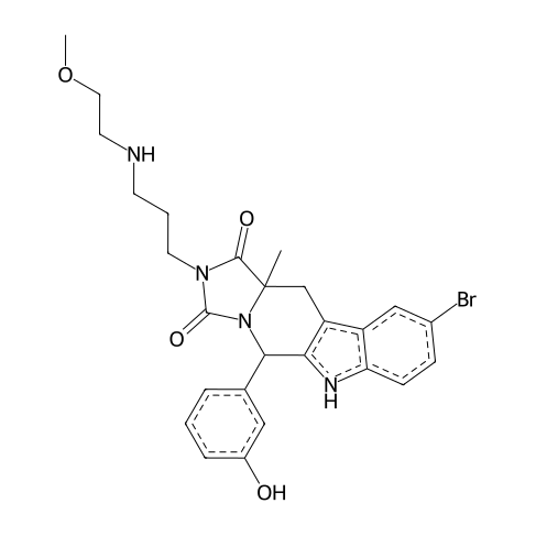 COCCNCCCN1C(=O)N2C(c3cccc(O)c3)c3[nH]c4ccc(Br)cc4c3CC2(C)C1=O